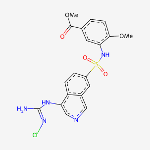 COC(=O)c1ccc(OC)c(NS(=O)(=O)c2ccc3c(NC(N)=NCl)cncc3c2)c1